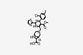 COC(=O)C1=C(CN2CC3C[C@@H](C2)C(C(=O)O)N3)NC(c2nccs2)=N[C@H]1c1ccc(F)cc1Cl